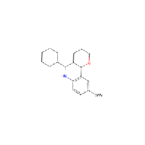 COc1ccc2c(c1)C1OCCCC1C(C1CCCCC1)N2